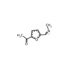 C/N=C\c1ccc(C(C)=O)o1